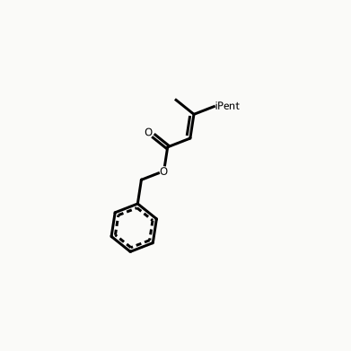 CCCC(C)/C(C)=C/C(=O)OCc1ccccc1